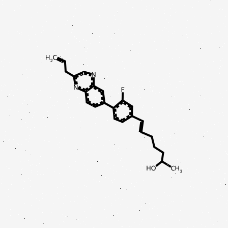 C=CCc1cnc2cc(-c3ccc(/C=C/CCCC(C)O)cc3F)ccc2n1